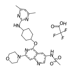 Cc1cc(C)nc(NC2CCC(Oc3nc(N4CCOCC4)cc4ncc(NS(C)(=O)=O)cc34)CC2)n1.O=C(O)C(F)(F)F